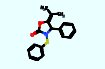 CC(C)=C1OC(=O)N(Sc2ccccc2)C1c1ccccc1